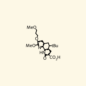 COCCCOc1cc2c(nc1OC)-c1[nH]c(=O)c(C(=O)O)cc1C(C(C)(C)C)C2